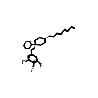 CCCCCCCC[C@H]1CC[C@](CCc2cc(F)c(F)c(F)c2)(C2CCCCC2)CC1